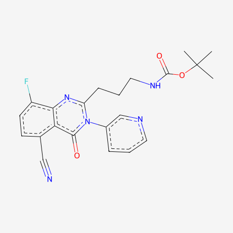 CC(C)(C)OC(=O)NCCCc1nc2c(F)ccc(C#N)c2c(=O)n1-c1cccnc1